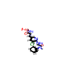 CN(C(=O)CNc1ncc(/C=C/C(=O)NO)cc1Cl)C1CCCCC1